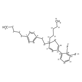 CCCCCc1ccc(CCC2(CCCCC)C=CC(c3cccc(F)c3F)=CC2)cc1